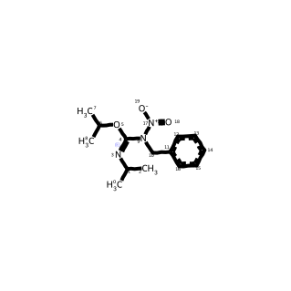 CC(C)/N=C(/OC(C)C)N(Cc1ccccc1)[N+](=O)[O-]